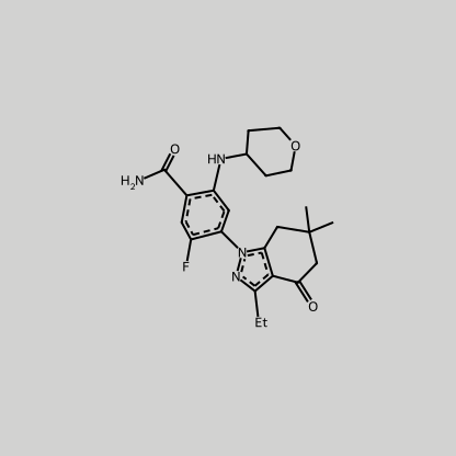 CCc1nn(-c2cc(NC3CCOCC3)c(C(N)=O)cc2F)c2c1C(=O)CC(C)(C)C2